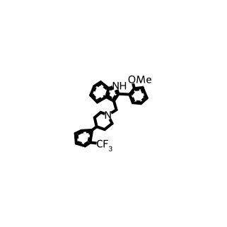 COc1ccccc1-c1[nH]c2ccccc2c1CN1CCC(c2ccccc2C(F)(F)F)CC1